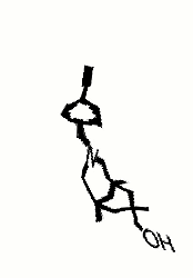 C#Cc1ccc(CN2CC3(C)CC(C)(CO)CC(C)(C2)C3)cc1